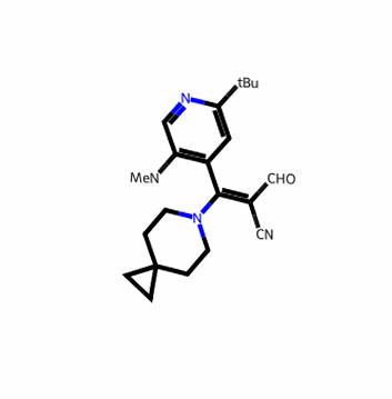 CNc1cnc(C(C)(C)C)cc1/C(=C(/C#N)C=O)N1CCC2(CC1)CC2